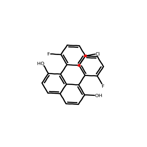 Oc1ccc2ccc(O)c(-c3cc(Cl)ccc3F)c2c1-c1ccccc1F